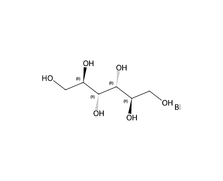 OC[C@@H](O)[C@@H](O)[C@H](O)[C@H](O)CO.[B]